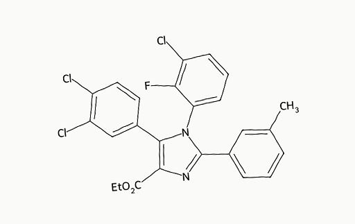 CCOC(=O)c1nc(-c2cccc(C)c2)n(-c2cccc(Cl)c2F)c1-c1ccc(Cl)c(Cl)c1